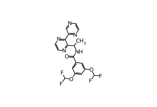 CC(NC(=O)c1cc(OC(F)F)cc(OC(F)F)c1)c1nccnc1-c1cnccn1